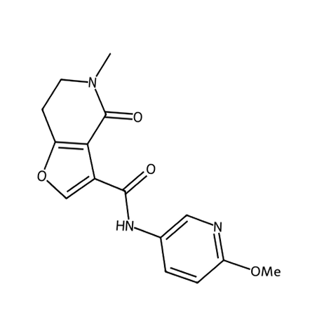 COc1ccc(NC(=O)c2coc3c2C(=O)N(C)CC3)cn1